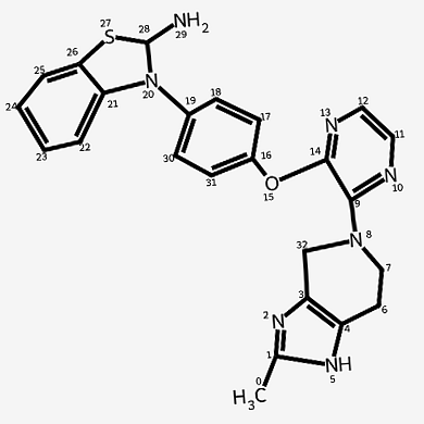 Cc1nc2c([nH]1)CCN(c1nccnc1Oc1ccc(N3c4ccccc4SC3N)cc1)C2